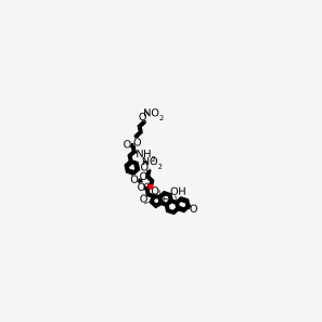 C[C@H]1CC2C3CCC4=CC(=O)C=C[C@]4(C)[C@@]3(F)[C@@H](O)C[C@]2(C)[C@@]1(OC(=O)CCCO[N+](=O)[O-])C(=O)COC(=O)Oc1ccc(C[C@H](N)C(=O)OCCCCO[N+](=O)[O-])cc1